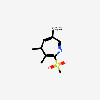 CCOC(=O)C1=CC(C)C(C)=C(S(C)(=O)=O)N=C1